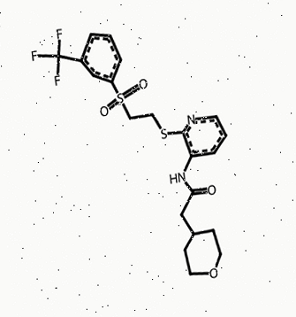 O=C(CC1CCOCC1)Nc1cccnc1SCCS(=O)(=O)c1cccc(C(F)(F)F)c1